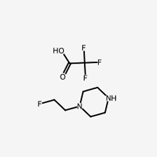 FCCN1CCNCC1.O=C(O)C(F)(F)F